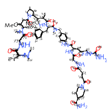 CCC(C)C(C(CC(=O)N1CCCC1C(OC)C(C)C(=O)NC(Cc1ccccc1)C(=O)N(C)Cc1ccc(NC(=O)C(CCCNC(N)=O)NC(=O)CNC(=O)CCC(=O)N2CCC(C(N)=O)CC2)cc1)OC)N(C)C(=O)CNC(=O)C(C(C)C)N(C)C